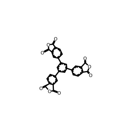 O=C1OC(=O)c2cc(-c3cc(-c4ccc5c(c4)C(=O)OC5=O)cc(-c4ccc5c(c4)C(=O)OC5=O)c3)ccc21